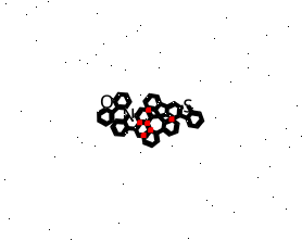 c1ccc(-c2ccccc2N(c2ccc3c(c2)-c2ccccc2-c2ccccc2C32c3ccccc3-c3cc4sc5ccccc5c4cc32)c2cccc3oc4ccccc4c23)cc1